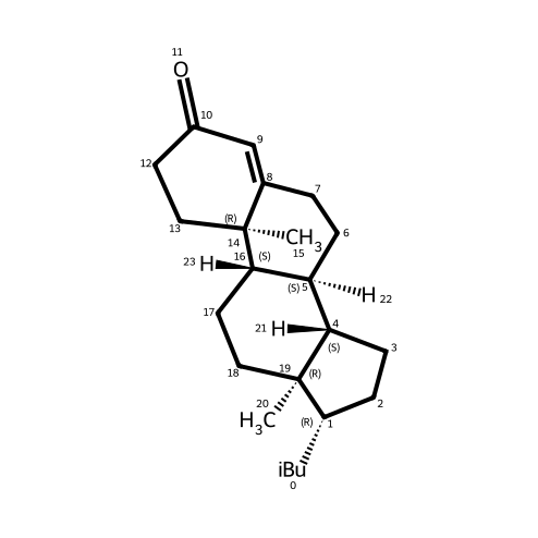 CCC(C)[C@H]1CC[C@H]2[C@@H]3CCC4=CC(=O)CC[C@]4(C)[C@H]3CC[C@]12C